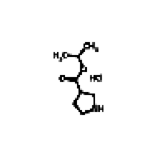 CC(C)OC(=O)C1CCNC1.Cl